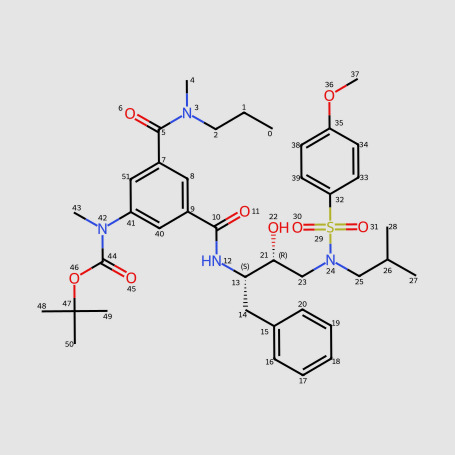 CCCN(C)C(=O)c1cc(C(=O)N[C@@H](Cc2ccccc2)[C@H](O)CN(CC(C)C)S(=O)(=O)c2ccc(OC)cc2)cc(N(C)C(=O)OC(C)(C)C)c1